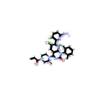 C=CC(=O)N1CCN(c2nc(=O)n(-c3c(C)cccc3CCC)c3nc(-c4nc(N)ccc4F)c(Cl)cc23)[C@@H](C)C1